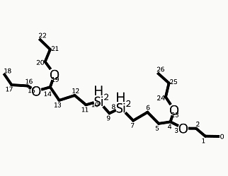 CCCOC(CCC[SiH2]C[SiH2]CCCC(OCCC)OCCC)OCCC